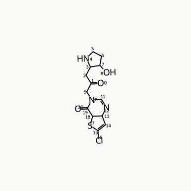 O=C(CC1NCCC1O)CN1C=NC2C=C(Cl)SC2C1=O